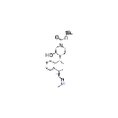 C/C=N\C=C(/C)c1ccccc1C(C)C1CCN(C(=O)OC(C)(C)C)CC1O